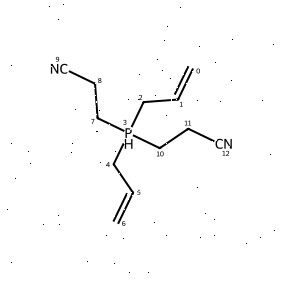 C=CC[PH](CC=C)(CCC#N)CCC#N